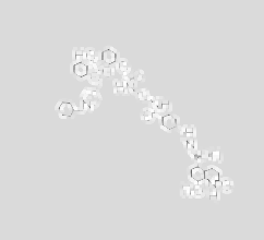 O=C(COc1cccc(C(O)(C(=O)OCC2CCN(Cc3ccccc3)CC2)c2ccccc2)c1)N[C@H]1C[C@H](NC(=O)c2ccc(CCNC[C@H](O)c3ccc(O)c4[nH]c(=O)ccc34)cc2)C1